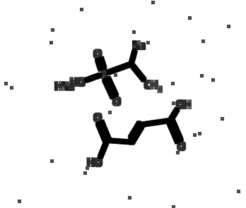 C[CH]([Na])S(=O)(=O)O.O=C(O)C=CC(=O)O.[NaH]